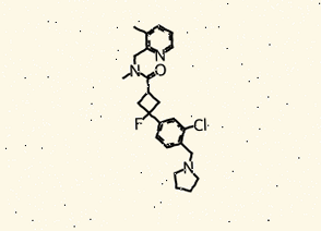 Cc1cccnc1CN(C)C(=O)C1CC(F)(c2ccc(CN3CCCC3)c(Cl)c2)C1